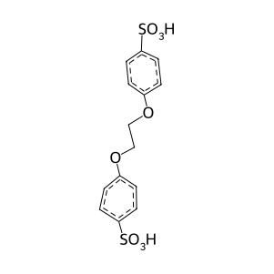 O=S(=O)(O)c1ccc(OCCOc2ccc(S(=O)(=O)O)cc2)cc1